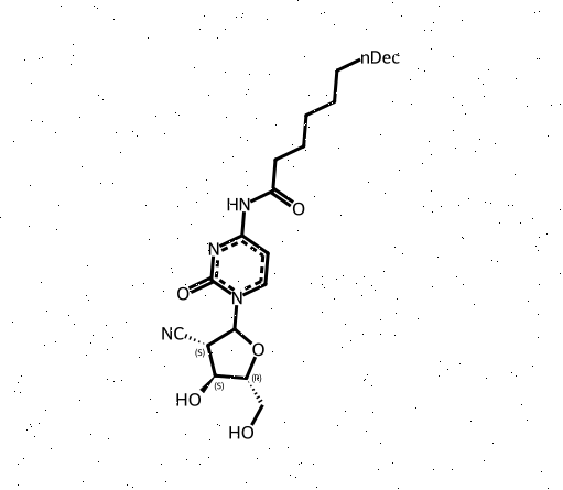 CCCCCCCCCCCCCCCC(=O)Nc1ccn(C2O[C@H](CO)[C@@H](O)[C@@H]2C#N)c(=O)n1